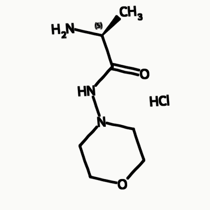 C[C@H](N)C(=O)NN1CCOCC1.Cl